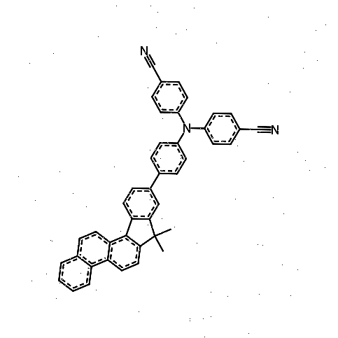 CC1(C)c2cc(-c3ccc(N(c4ccc(C#N)cc4)c4ccc(C#N)cc4)cc3)ccc2-c2c1ccc1c2ccc2ccccc21